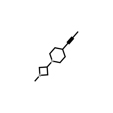 CC#CC1CCN(C2CN(C)C2)CC1